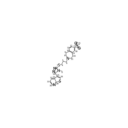 Cn1c(SCCCN2CCc3ccc(S(C)(=O)=O)cc3CC2)nnc1-c1csc2ncccc12